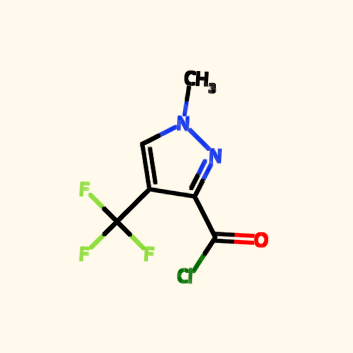 Cn1cc(C(F)(F)F)c(C(=O)Cl)n1